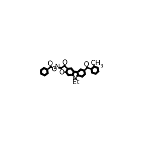 CCn1c2ccc(C(=O)c3ccccc3C)cc2c2cc3c(cc21)O/C(=N\OC(=O)c1ccccc1)C3=O